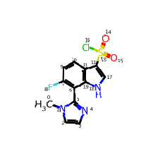 Cn1ccnc1-c1c(F)ccc2c(S(=O)(=O)Cl)c[nH]c12